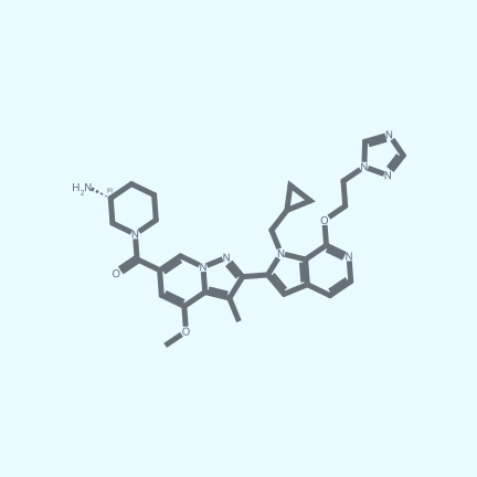 COc1cc(C(=O)N2CCC[C@@H](N)C2)cn2nc(-c3cc4ccnc(OCCn5cncn5)c4n3CC3CC3)c(C)c12